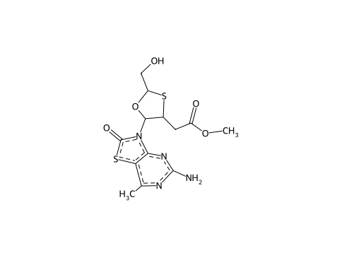 COC(=O)CC1SC(CO)OC1n1c(=O)sc2c(C)nc(N)nc21